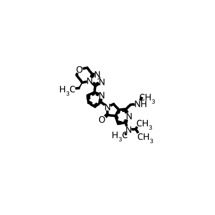 CC[C@H]1COCc2nnc(-c3cccc(N4Cc5c(cc(N(C)C(C)C)nc5CNC)C4=O)n3)n21